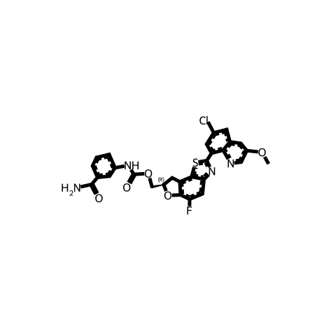 COc1cnc2c(-c3nc4cc(F)c5c(c4s3)C[C@H](COC(=O)Nc3cccc(C(N)=O)c3)O5)cc(Cl)cc2c1